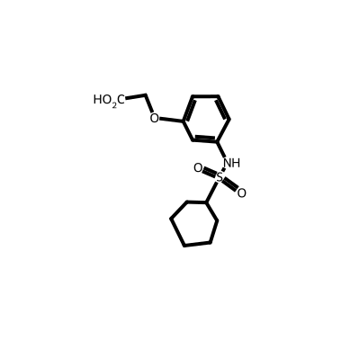 O=C(O)COc1cccc(NS(=O)(=O)C2CCCCC2)c1